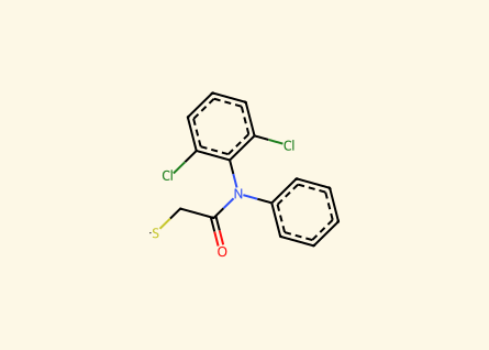 O=C(C[S])N(c1ccccc1)c1c(Cl)cccc1Cl